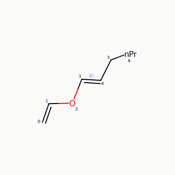 C=CO/C=C/CCCC